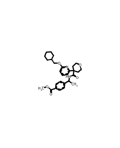 COC(=O)c1ccc(C(C)NC(=O)C2(c3cccc(OCC4CCCCC4)n3)CCOCC2)cc1